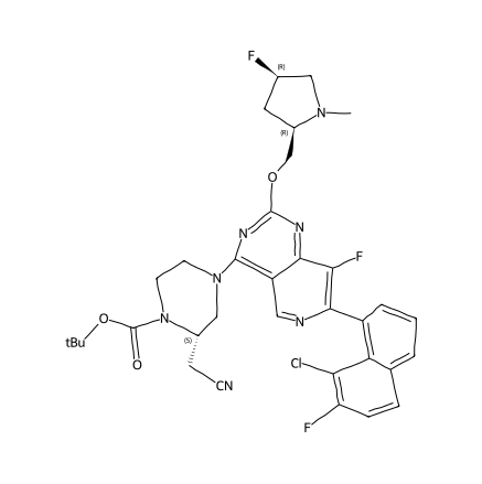 CN1C[C@H](F)C[C@@H]1COc1nc(N2CCN(C(=O)OC(C)(C)C)[C@@H](CC#N)C2)c2cnc(-c3cccc4ccc(F)c(Cl)c34)c(F)c2n1